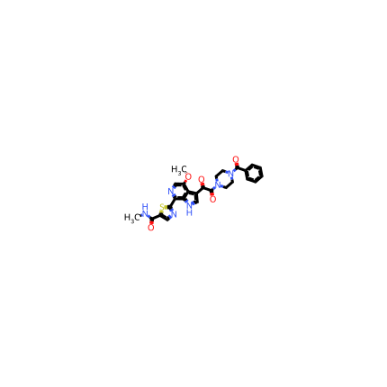 CNC(=O)c1cnc(-c2ncc(OC)c3c(C(=O)C(=O)N4CCN(C(=O)c5ccccc5)CC4)c[nH]c23)s1